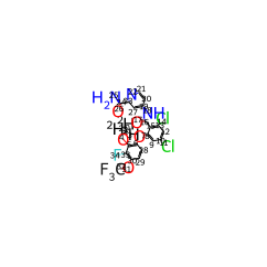 [2H]C([2H])([2H])Oc1c(Oc2cc(Cl)cc(Cl)c2C(=O)Nc2ccnc(C(N)=O)c2)ccc(OC(F)(F)F)c1F